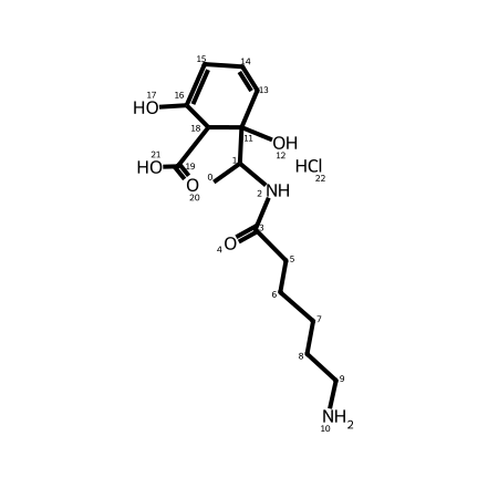 CC(NC(=O)CCCCCN)C1(O)C=CC=C(O)C1C(=O)O.Cl